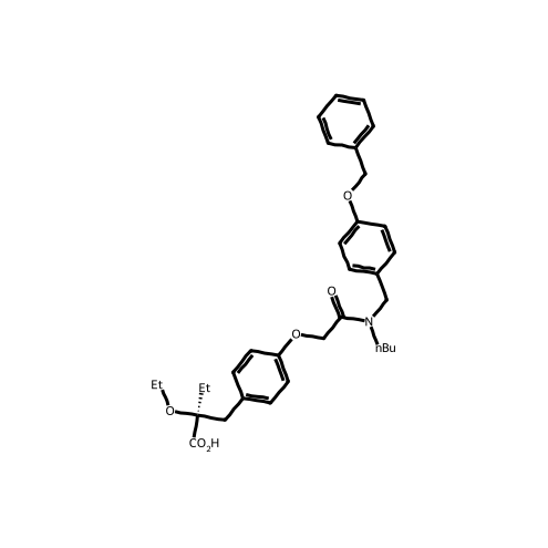 CCCCN(Cc1ccc(OCc2ccccc2)cc1)C(=O)COc1ccc(C[C@](CC)(OCC)C(=O)O)cc1